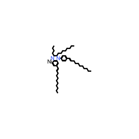 CCCCCCCCCC=Cc1ccc(N=C(CCCC)C(CCCCCCCC)=Nc2ccc(C=CCCCCCCCCC)cc2)cc1.[Ni]